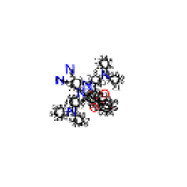 N#Cc1cc(-n2c3ccc(N(c4ccccc4)c4ccccc4)cc3c3c4oc5ccccc5c4ccc32)c(-n2c3ccc(N(c4ccccc4)c4ccccc4)cc3c3c4oc5ccccc5c4ccc32)cc1C#N